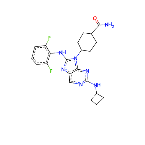 NC(=O)C1CCC(n2c(Nc3c(F)cccc3F)nc3cnc(NC4CCC4)nc32)CC1